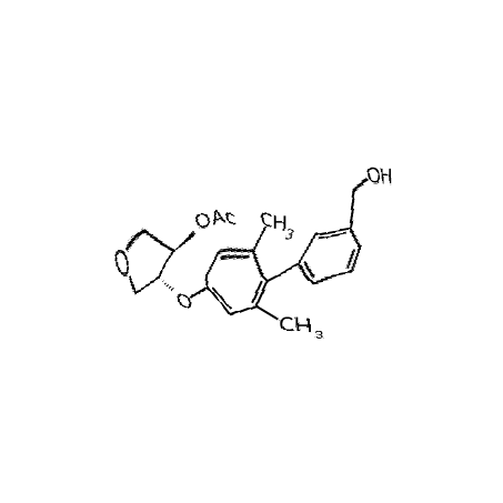 CC(=O)O[C@@H]1COC[C@H]1Oc1cc(C)c(-c2cccc(CO)c2)c(C)c1